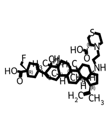 C=C(C)[C@@H]1CC[C@]2(NCCN3CCSC[C@H]3C(=O)O)CC[C@]3(C)[C@H](CC[C@@H]4[C@@]5(C)CC=C(C6=CC[C@@](CF)(C(=O)O)CC6)C(C)(C)[C@@H]5CC[C@]43C)[C@@H]12